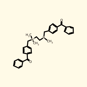 CN(CC[N+](C)(C)Cc1ccc(C(=O)c2ccccc2)cc1)Cc1ccc(C(=O)c2ccccc2)cc1